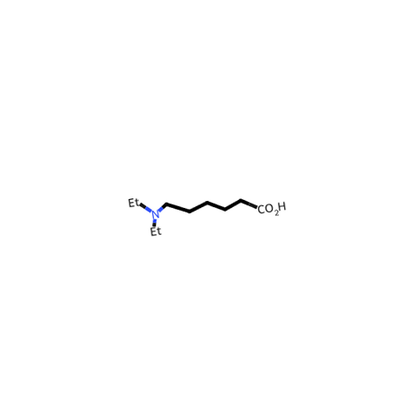 CCN(CC)CCCCCC(=O)O